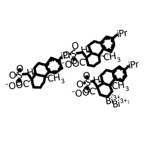 CC(C)c1ccc2c(c1)CC[C@H]1[C@@](CS(=O)(=O)[O-])(C(=O)[O-])CCC[C@]21C.CC(C)c1ccc2c(c1)CC[C@H]1[C@@](CS(=O)(=O)[O-])(C(=O)[O-])CCC[C@]21C.CC(C)c1ccc2c(c1)CC[C@H]1[C@@](CS(=O)(=O)[O-])(C(=O)[O-])CCC[C@]21C.[Bi+3].[Bi+3]